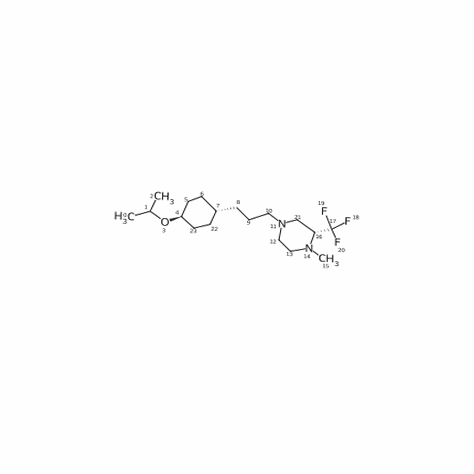 CC(C)O[C@H]1CC[C@H](CCCN2CCN(C)[C@@H](C(F)(F)F)C2)CC1